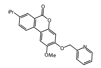 COc1cc2c(cc1OCc1ccccn1)oc(=O)c1cc(C(C)C)ccc12